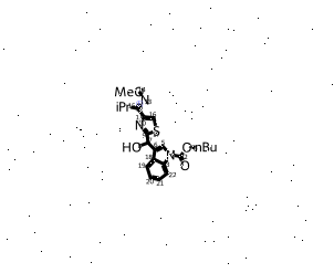 CCCCOC(=O)n1cc(C(O)c2nc(/C(=N/OC)C(C)C)cs2)c2ccccc21